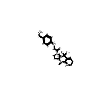 CN(c1ncccc1C(F)(F)F)C1CCN(C(=O)COc2ccc(CO)cc2)C1